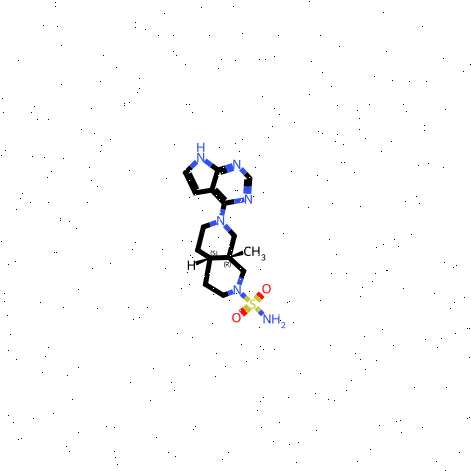 C[C@]12CN(c3ncnc4[nH]ccc34)CC[C@H]1CCN(S(N)(=O)=O)C2